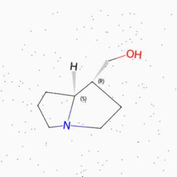 OC[C@@H]1CCN2CCC[C@@H]12